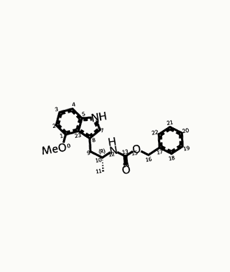 COc1cccc2[nH]cc(C[C@@H](C)NC(=O)OCc3ccccc3)c12